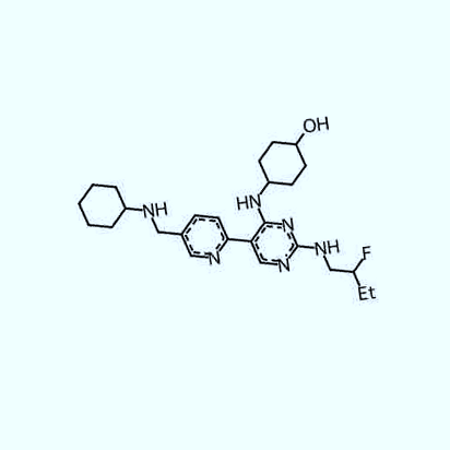 CCC(F)CNc1ncc(-c2ccc(CNC3CCCCC3)cn2)c(NC2CCC(O)CC2)n1